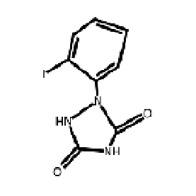 O=c1[nH]c(=O)n(-c2ccccc2I)[nH]1